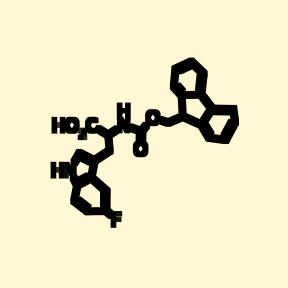 O=C(NC(Cc1c[nH]c2ccc(F)cc12)C(=O)O)OCC1c2ccccc2-c2ccccc21